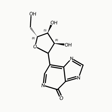 O=C1N=CC(C2O[C@H](CO)[C@@H](O)[C@H]2O)=C2N=CN=C12